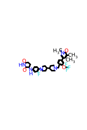 Cc1c(-c2ccc(CN3CCC(C4CCN(c5ccc(NC6CCC(=O)NC6=O)cc5F)CC4)CC3)c(OC(F)(F)F)c2)cn(C)c(=O)c1C